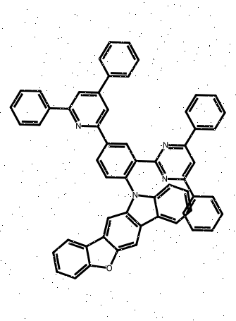 c1ccc(-c2cc(-c3ccccc3)nc(-c3ccc(-n4c5ccccc5c5cc6oc7ccccc7c6cc54)c(-c4nc(-c5ccccc5)cc(-c5ccccc5)n4)c3)c2)cc1